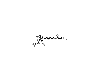 CCC(=O)NCCCCCCOP(=O)(O)OC(C)C